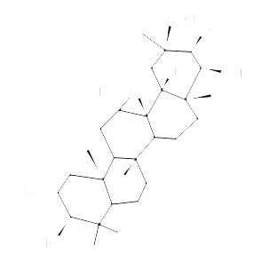 CC1(C)[C@@H](O)[C@H](O)C[C@]2(C)[C@H]3C[C@H]4O[C@]45[C@@H]4C[C@@](C)(C(=O)O)[C@@H](O)[C@@H](O)[C@]4(C)CC[C@@]5(C)[C@]3(C)CC[C@@H]12